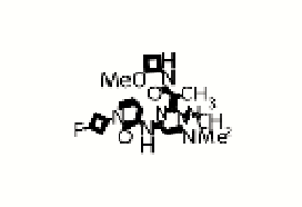 C=NN1C(NC)=CC(Nc2cccn([C@H]3C[C@H](F)C3)c2=O)=N/C1=C(/C)C(=O)N[C@@H]1CC[C@H]1OC